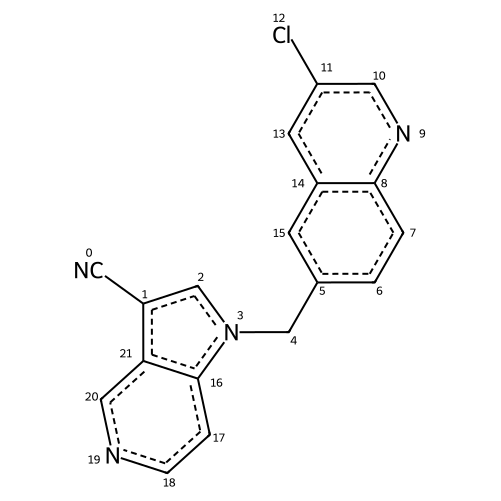 N#Cc1cn(Cc2ccc3ncc(Cl)cc3c2)c2ccncc12